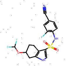 N#Cc1ccc(NS(=O)(=O)c2c[nH]c3c2CCC(OC(F)F)C3)c(F)c1